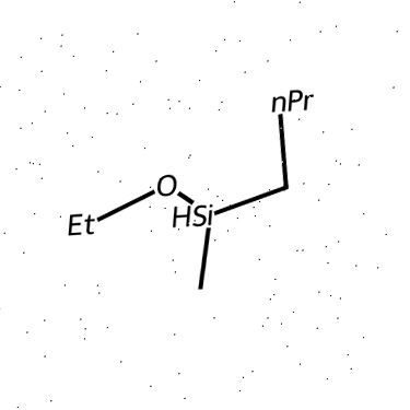 CCCC[SiH](C)OCC